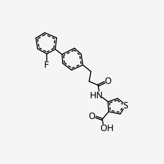 O=C(CCc1ccc(-c2ccccc2F)cc1)Nc1cscc1C(=O)O